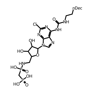 CCCCCCCCCCCCNC(=O)Nc1nc(Cl)nc2c1ncn2C1OC(CNP(=O)(O)CP(=O)(O)O)C(O)C1O